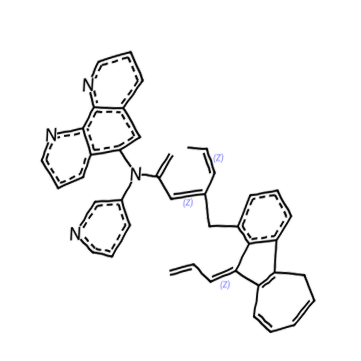 C=C/C=C1/C2=C(CC=CC=C2)c2cccc(CC(/C=C\C)=C/C(=C)N(c3cccnc3)c3cc4cccnc4c4ncccc34)c21